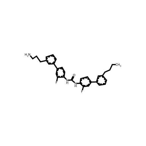 CCCCc1cccc(-c2ccc(NC(=O)Nc3ccc(-c4cccc(CCCN)c4)cc3F)c(F)c2)c1